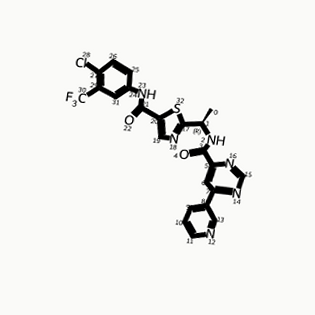 C[C@@H](NC(=O)c1cc(-c2cccnc2)ncn1)c1ncc(C(=O)Nc2ccc(Cl)c(C(F)(F)F)c2)s1